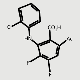 CC(=O)c1cc(F)c(F)c(Nc2ccccc2Cl)c1C(=O)O